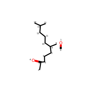 C=O.CC(=O)CCCC(C)CCCC(C)C